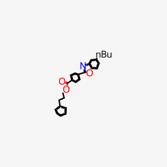 CCCCc1ccc2oc(-c3ccc(C(=O)OCCCc4ccccc4)cc3)nc2c1